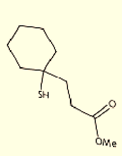 COC(=O)CCC1(S)CCCCC1